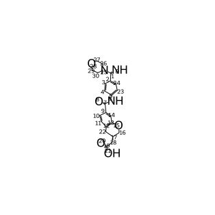 N=C(c1ccc(NC(=O)c2ccc3c(c2)OCC(CC(=O)O)C3)cc1)N1CCOCC1